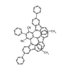 Cc1ccc2c(c1)c1cc(-c3ccccc3)ccc1n2-c1c(C#N)c(-c2ccccc2)c(C#N)c(-n2c3ccc(C)cc3c3cc(-c4ccccc4)ccc32)c1-n1c2ccccc2c2ccccc21